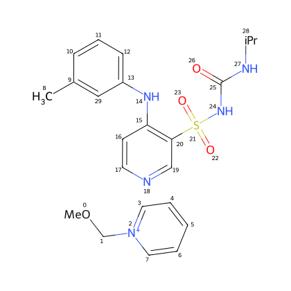 COC[n+]1ccccc1.Cc1cccc(Nc2ccncc2S(=O)(=O)NC(=O)NC(C)C)c1